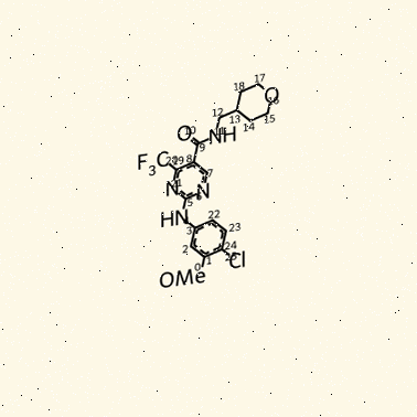 COc1cc(Nc2ncc(C(=O)NCC3CCOCC3)c(C(F)(F)F)n2)ccc1Cl